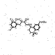 CC(C)(C)Cc1ccc2c(c1)C(NCC(O)C(C=O)Cc1cc(F)cc(F)c1)CCS2(=O)=O